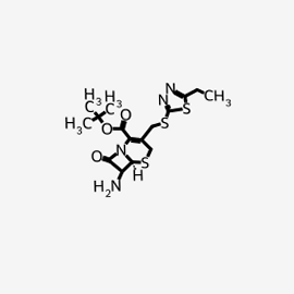 CCc1nnc(SCC2=C(C(=O)OC(C)(C)C)N3C(=O)C(N)[C@@H]3SC2)s1